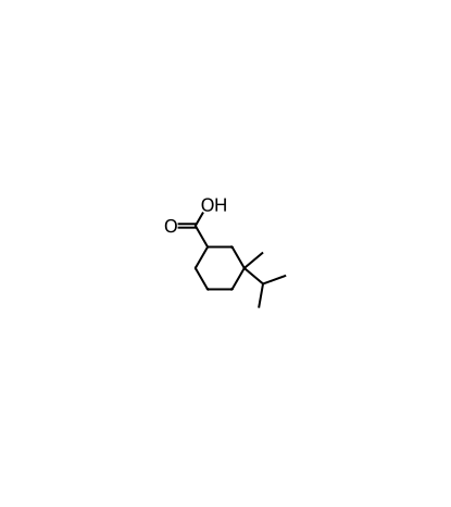 CC(C)C1(C)CCCC(C(=O)O)C1